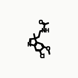 COc1cc2c(cc1Cl)N=CC2(C)CCNC(C)=O